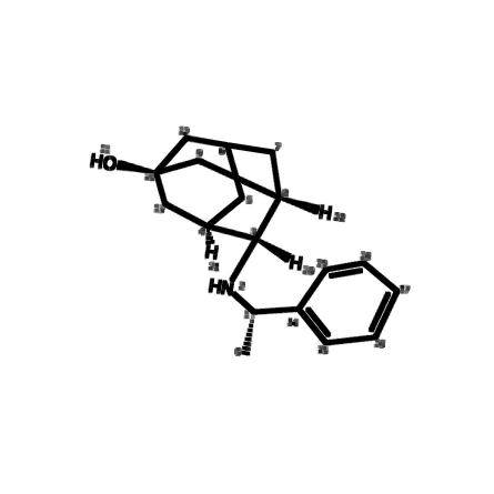 C[C@H](N[C@@H]1[C@@H]2CC3C[C@H]1C[C@@](O)(C3)C2)c1ccccc1